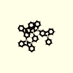 c1ccc(-n2c3ccccc3c3cc(-n4c5ccccc5c5c6ccccc6n(-c6cccc(-n7c8ccccc8c8c9ccccc9n(-c9ccc%10c(c9)c9ccccc9n%10-c9ccccc9)c87)c6)c54)ccc32)cc1